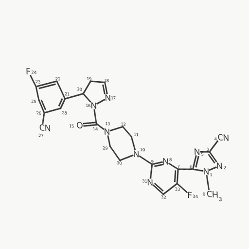 Cn1nc(C#N)nc1-c1nc(N2CCN(C(=O)N3N=CCC3c3cc(F)cc(C#N)c3)CC2)ncc1F